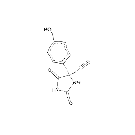 C#CC1(c2ccc(O)cc2)NC(=O)NC1=O